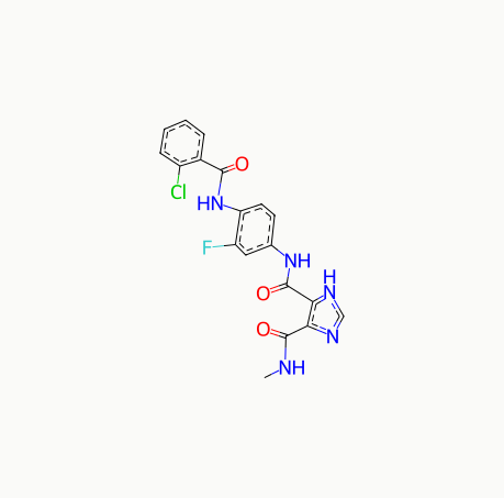 CNC(=O)c1nc[nH]c1C(=O)Nc1ccc(NC(=O)c2ccccc2Cl)c(F)c1